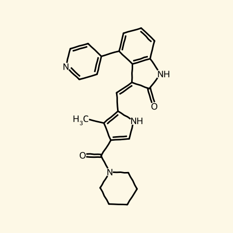 Cc1c(C(=O)N2CCCCC2)c[nH]c1/C=C1\C(=O)Nc2cccc(-c3ccncc3)c21